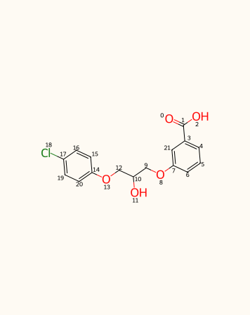 O=C(O)c1cccc(OCC(O)COc2ccc(Cl)cc2)c1